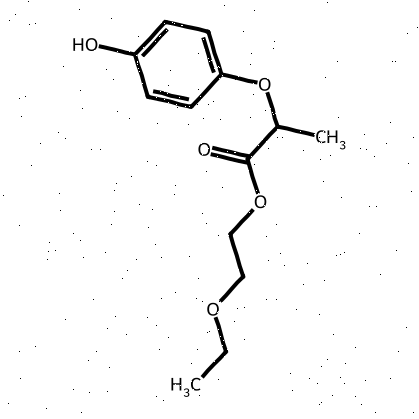 CCOCCOC(=O)C(C)Oc1ccc(O)cc1